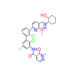 COc1nc(-c2cccc(-c3cc(F)cc(NC(=O)c4ccnn(C)c4=O)c3Cl)c2Cl)ccc1CN[C@@H]1CCCC[C@@H]1O